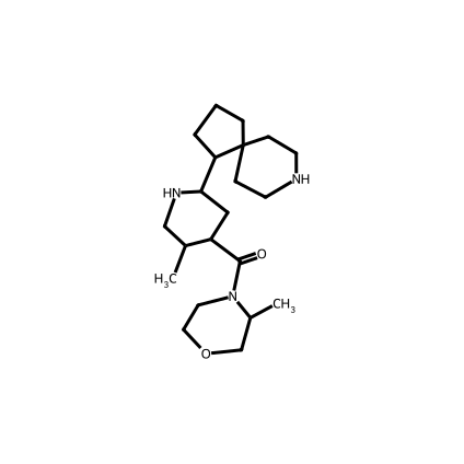 CC1CNC(C2CCCC23CCNCC3)CC1C(=O)N1CCOCC1C